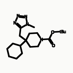 Cn1nnnc1CC1(C2CCCCC2)CCN(C(=O)OC(C)(C)C)CC1